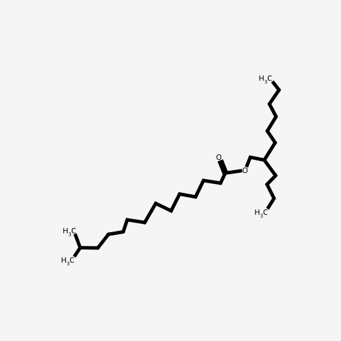 CCCCCCC(CCCC)COC(=O)CCCCCCCCCCCC(C)C